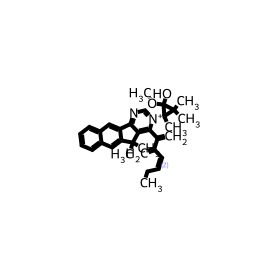 C=C(/C=C\CC)C(=C)c1c2c(nc[n+]1C1(C)C(C)(C)C1(O)OC)-c1cc3ccccc3cc1C2(C)C